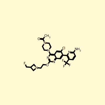 CC(=O)N1CCN(c2nc(OCCN3CC(CF)C3)nc3cc(-c4nc(N)ccc4C(F)(F)F)c(Cl)cc23)CC1